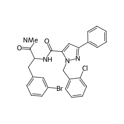 CNC(=O)C(Cc1cccc(Br)c1)NC(=O)c1cc(-c2ccccc2)nn1Cc1ccccc1Cl